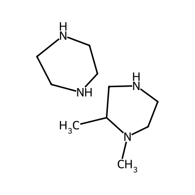 C1CNCCN1.CC1CNCCN1C